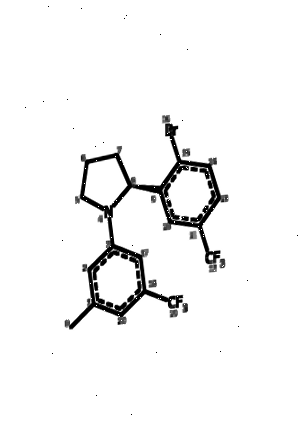 Cc1cc(N2CCC[C@H]2c2cc(C(F)(F)F)ccc2Br)cc(C(F)(F)F)c1